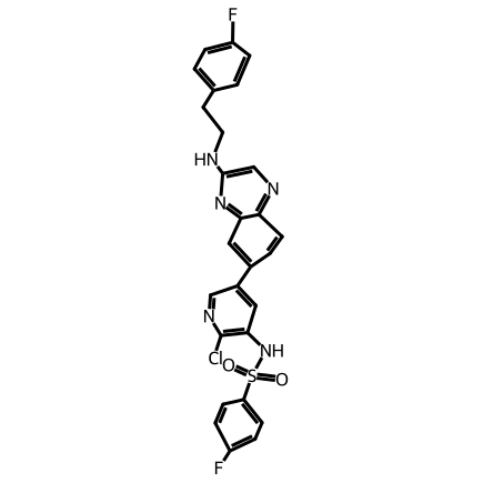 O=S(=O)(Nc1cc(-c2ccc3ncc(NCCc4ccc(F)cc4)nc3c2)cnc1Cl)c1ccc(F)cc1